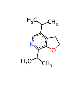 CC(C)c1cnc(C(C)C)c2c1CCO2